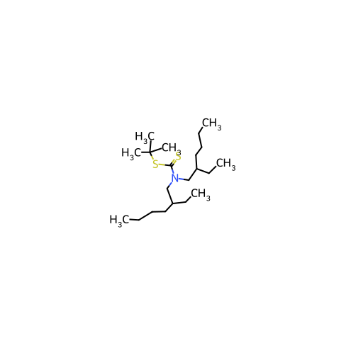 CCCCC(CC)CN(CC(CC)CCCC)C(=S)SC(C)(C)C